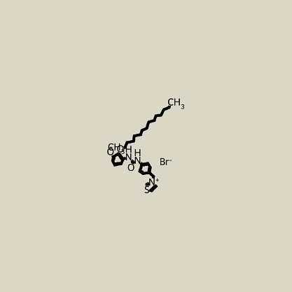 CCCCCCCCCCCCCCOc1c(NC(=O)Nc2ccc(C[n+]3ccsc3)cc2)cccc1OC.[Br-]